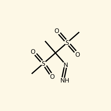 CC(N=N)(S(C)(=O)=O)S(C)(=O)=O